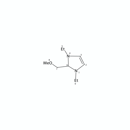 CCN1C=CN(CC)C1COC